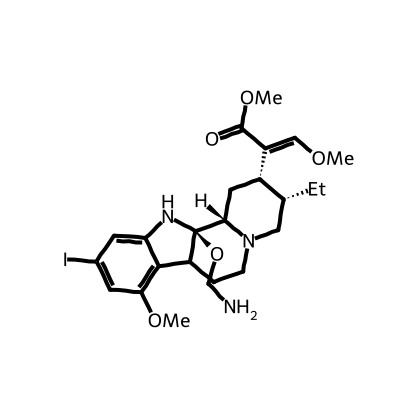 CC[C@@H]1CN2CCC3c4c(cc(I)cc4OC)N[C@]3(OCN)[C@@H]2C[C@@H]1/C(=C\OC)C(=O)OC